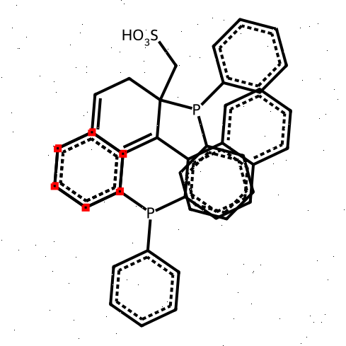 O=S(=O)(O)CC1(P(c2ccccc2)c2ccccc2)CC=c2ccccc2=C1c1c(P(c2ccccc2)c2ccccc2)ccc2ccccc12